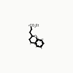 CCOC(=O)CCC1CCc2ccccc2O1